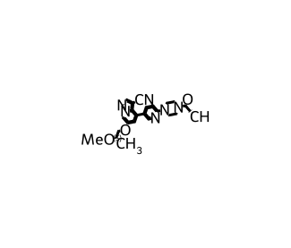 C#CC(=O)N1CCN(c2ccc(-c3cc(OC[C@H](C)OC)cn4ncc(C#N)c34)cn2)CC1